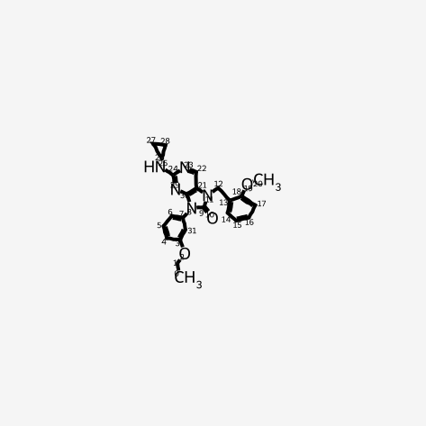 CCOc1cccc(-n2c(=O)n(Cc3ccccc3OC)c3cnc(NC4CC4)nc32)c1